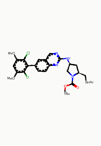 COc1cc(OC)c(Cl)c(-c2ccc3nc(N[C@H]4C[C@@H](CNC(C)=O)N(C(=O)OC(C)(C)C)C4)ncc3c2)c1Cl